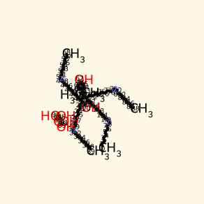 CCCCCCCC/C=C\CCCCCCCCc1c(O)c(CCCCCCCC/C=C\CCCCCCCC)c(CCCCCCCC/C=C\CCCCCCCC)c(C(C)(C)c2ccc(O)cc2)c1CCCCCCCC/C=C\CCCCCCCC.OP(O)OP(O)O